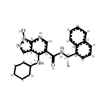 CCn1ncc2c(NC3CCCCC3)c(C(=O)N[C@@H](C)c3cccc4ccccc34)cnc21